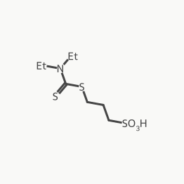 CCN(CC)C(=S)SCCCS(=O)(=O)O